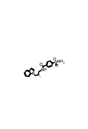 C[C@@H](CNC(=O)c1ccc(S(N)(=O)=O)cc1)Cn1ccc2ccccc21